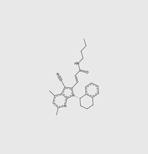 CCCCNC(=O)/C=C/c1c(C#N)c2c(C)cc(C)nc2n1[C@H]1CCCc2ccccc21